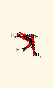 CCN(CC)CCN(CCOC(=O)OC(CCCC(=O)OCCCCCCCCSC)CCCC(=O)OCCCCCCCCSC)CCOC(=O)OC(CCCC(=O)OCCCCCCCCSC)CCCC(=O)OCCCCCCCCSC